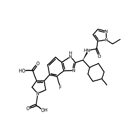 CCn1nccc1C(=O)N[C@H](c1nc2c(F)c(C3=C(C(=O)O)CN(C(=O)O)C3)ccc2[nH]1)C1CCC(C)CC1